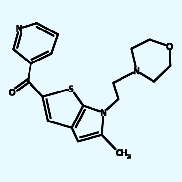 Cc1cc2cc(C(=O)c3cccnc3)sc2n1CCN1CCOCC1